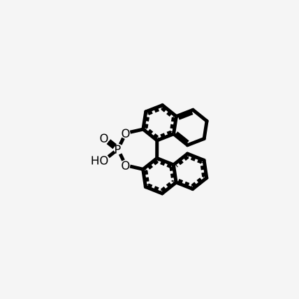 O=P1(O)Oc2ccc3c(c2-c2c(ccc4ccccc24)O1)=CCCC=3